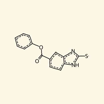 O=C(Oc1ccccc1)c1ccc2[nH]c([S])nc2c1